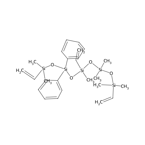 C=C[Si](C)(C)O[Si](C)(C)O[Si](C)(C=C)O[Si](O[Si](C)(C)C=C)(c1ccccc1)c1ccccc1